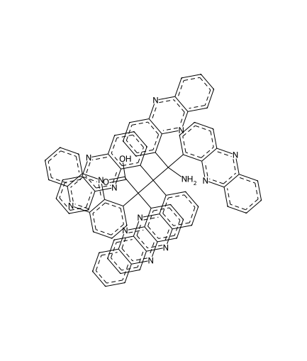 NC(c1cccc2nc3ccccc3nc12)(c1cccc2nc3ccccc3nc12)C(c1cccc2nc3ccccc3nc12)(c1cccc2nc3ccccc3nc12)C(C(=O)O)(c1cccc2nc3ccccc3nc12)c1cccc2nc3ccccc3nc12